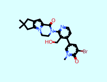 Cn1cc(-c2ccnc(N3CCn4c(cc5c4CC(C)(C)C5)C3=O)c2CO)cc(Br)c1=O